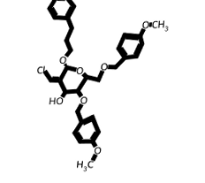 COc1ccc(COCC2O[C@H](OCCCc3ccccc3)/C(=C\Cl)C(O)C2OCc2ccc(OC)cc2)cc1